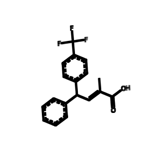 CC(=CC(c1ccccc1)c1ccc(C(F)(F)F)cc1)C(=O)O